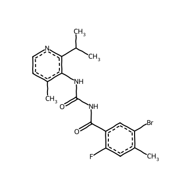 Cc1cc(F)c(C(=O)NC(=O)Nc2c(C)ccnc2C(C)C)cc1Br